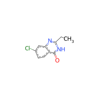 CCc1nc2cc(Cl)ccc2c(=O)[nH]1